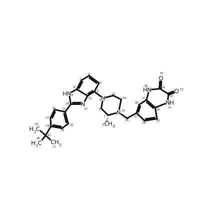 C[C@@H]1CN(c2cccc3[nH]c(-c4ccc(C(C)(C)C)cc4)nc23)CCN1Cc1ccc2[nH]c(=O)c(=O)[nH]c2c1